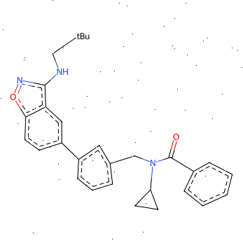 CC(C)(C)CNc1noc2ccc(-c3cccc(CN(C(=O)c4ccccc4)C4CC4)c3)cc12